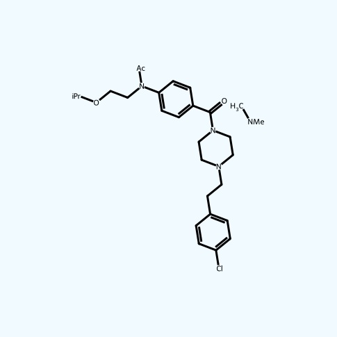 CC(=O)N(CCOC(C)C)c1ccc(C(=O)N2CCN(CCc3ccc(Cl)cc3)CC2)cc1.CNC